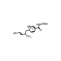 CCC/C=C/C(C)CC(C)/C=C\C(=C/CCC)C(=O)NOC